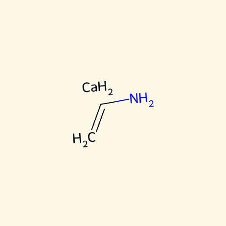 C=CN.[CaH2]